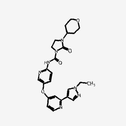 CCn1cc(-c2cc(Oc3ccc(NC(=O)N4CCN(C5CCOCC5)C4=O)nc3)ccn2)cn1